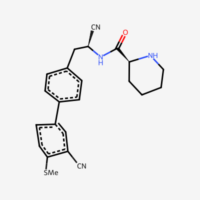 CSc1ccc(-c2ccc(C[C@@H](C#N)NC(=O)[C@@H]3CCCCN3)cc2)cc1C#N